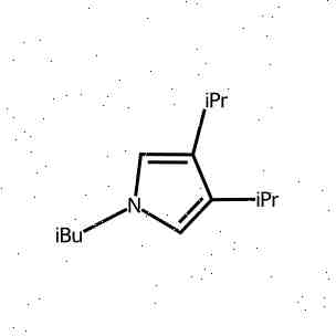 CCC(C)n1cc(C(C)C)c(C(C)C)c1